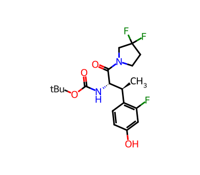 C[C@@H](c1ccc(O)cc1F)[C@H](NC(=O)OC(C)(C)C)C(=O)N1CCC(F)(F)C1